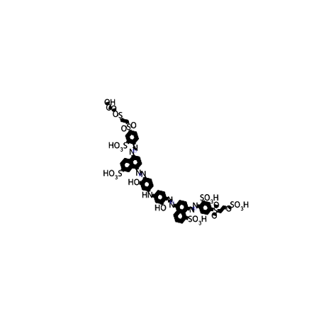 O=S(=O)(O)OCCS(=O)(=O)c1ccc(/N=N/c2ccc(/N=N/c3ccc(Nc4ccc(/N=N/c5ccc(/N=N/c6ccc(S(=O)(=O)CCSOOOO)cc6S(=O)(=O)O)c6ccc(S(=O)(=O)O)cc56)c(O)c4)cc3O)c3cccc(S(=O)(=O)O)c23)c(S(=O)(=O)O)c1